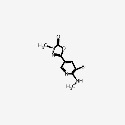 CNc1ncc(-c2nn(C)c(=O)o2)cc1Br